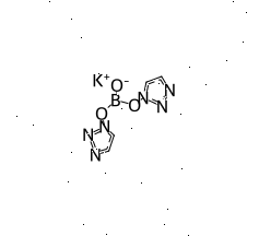 [K+].[O-]B(On1ccnn1)On1ccnn1